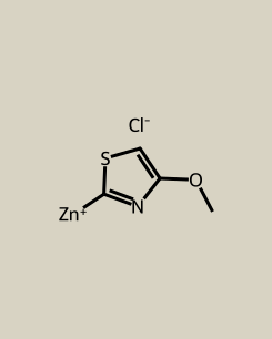 COc1cs[c]([Zn+])n1.[Cl-]